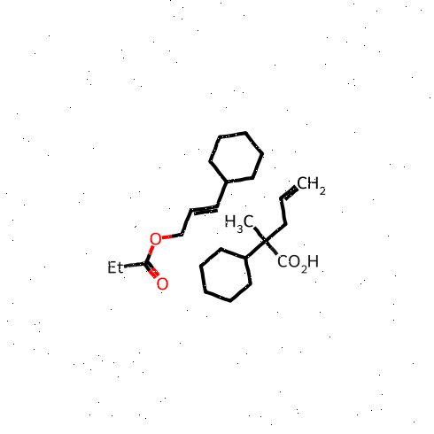 C=CCC(C)(C(=O)O)C1CCCCC1.CCC(=O)OCC=CC1CCCCC1